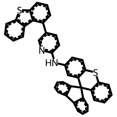 c1ccc2c(c1)Sc1ccc(Nc3ccc(-c4cccc5sc6ccccc6c45)cn3)cc1C21c2ccccc2-c2ccccc21